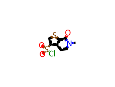 Cn1ccc2c(S(=O)(=O)Cl)csc2c1=O